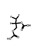 O=C(O)OCC(F)(OC(=O)O)C(F)F